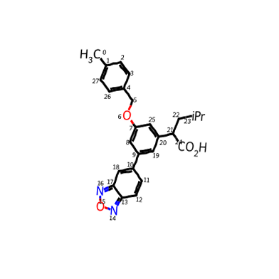 Cc1ccc(COc2cc(-c3ccc4nonc4c3)cc(C(CC(C)C)C(=O)O)c2)cc1